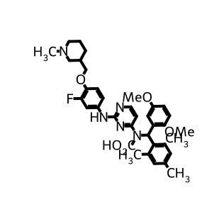 COc1ccc(OC)c(C(c2c(C)cc(C)cc2C)N(C(=O)O)c2ccnc(Nc3ccc(OCC4CCCN(C)C4)c(F)c3)n2)c1